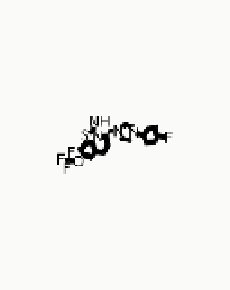 N=c1sc2cc(OC(F)(F)F)cc3c2n1[C@@H](CN1CCN(c2ccc(F)cc2)CC1)CC3